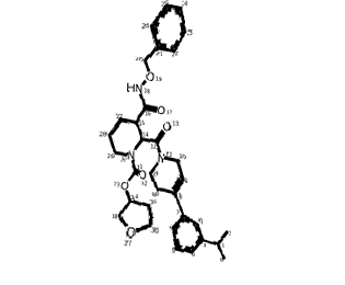 CC(C)c1cccc(C2=CCN(C(=O)C3C(C(=O)NOCc4ccccc4)CCCN3C(=O)OC3CCOC3)CC2)c1